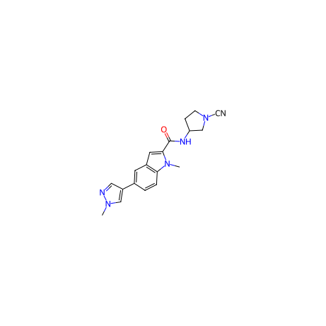 Cn1cc(-c2ccc3c(c2)cc(C(=O)NC2CCN(C#N)C2)n3C)cn1